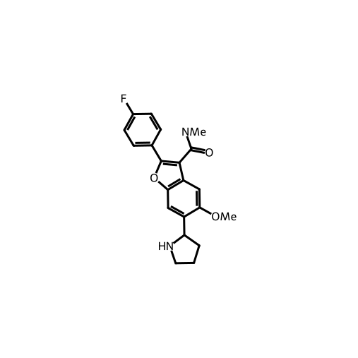 CNC(=O)c1c(-c2ccc(F)cc2)oc2cc(C3CCCN3)c(OC)cc12